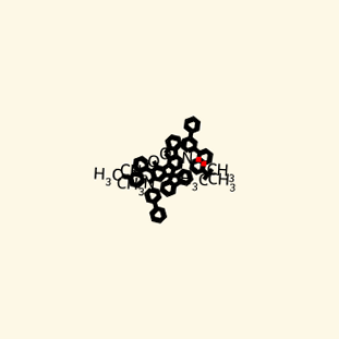 CC(C)(C)c1ccc(N(c2ccc(-c3ccccc3)cc2)c2cc3c(c4oc5ccccc5c24)-c2c(cc(N(c4ccc(C(C)(C)C)cc4)c4ccc(-c5ccccc5)cc4-c4ccccc4)c4c2oc2ccccc24)C32c3ccccc3-c3ccccc32)cc1